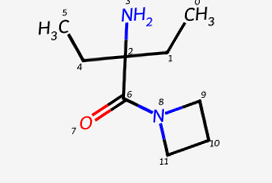 CCC(N)(CC)C(=O)N1CCC1